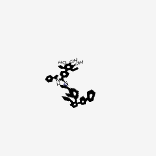 C=Cc1cccc(-c2ccc(-c3ccccc3)cc2)c1-c1cccc(/C(C)=N/C(NC(=C)c2ccccc2)c2ccc(-c3c(C=C)c(O)c(O)c(O)c3C=C)cc2)c1C